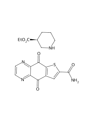 CCOC(=O)[C@H]1CCCNC1.NC(=O)c1cc2c(s1)C(=O)c1nccnc1C2=O